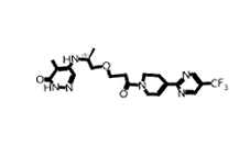 Cc1c(N[C@@H](C)COCCC(=O)N2CC=C(c3ncc(C(F)(F)F)cn3)CC2)cn[nH]c1=O